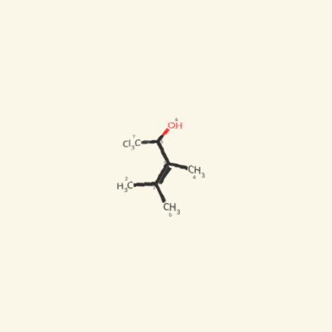 CC(C)=C(C)C(O)C(Cl)(Cl)Cl